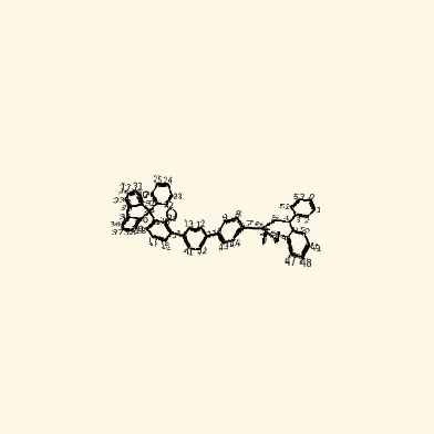 c1ccc(C2CC(c3ccc(-c4ccc(-c5cccc6c5Oc5ccccc5C65c6ccccc6-c6ccccc65)cc4)cc3)=Nc3ccccc32)cc1